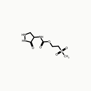 CS(=O)(=O)CCOC(=O)NC1CNNC1=O